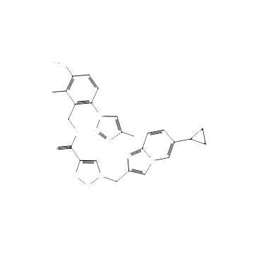 COc1ccc(-n2cc(Cl)nn2)c(CNC(=O)C2=CN(Cc3cn4cc(C5CC5)ccc4n3)NN2)c1F